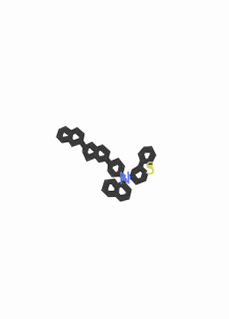 c1ccc2cc(-c3ccc4cc(-c5ccc(N(c6ccc7sc8ccccc8c7c6)c6cccc7ccccc67)cc5)ccc4c3)ccc2c1